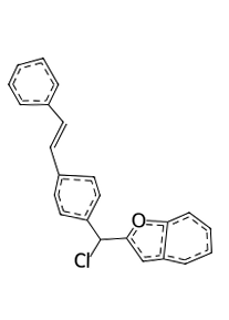 ClC(c1ccc(C=Cc2ccccc2)cc1)c1cc2ccccc2o1